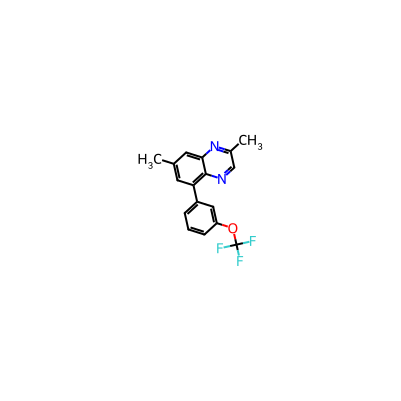 Cc1cc(-c2cccc(OC(F)(F)F)c2)c2ncc(C)nc2c1